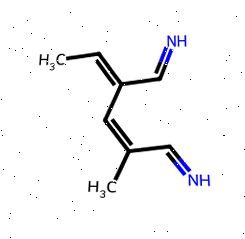 C/C=C(C=N)\C=C(\C)C=N